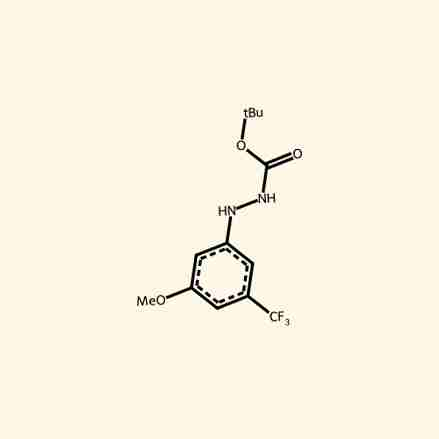 COc1cc(NNC(=O)OC(C)(C)C)cc(C(F)(F)F)c1